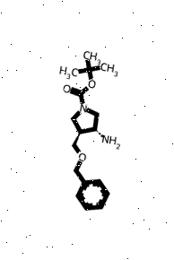 CC(C)(C)OC(=O)N1C[C@H](COCc2ccccc2)[C@@H](N)C1